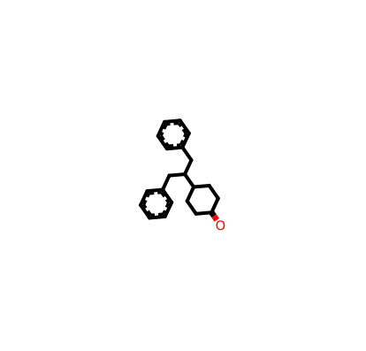 O=C1CCC(C(Cc2ccccc2)Cc2ccccc2)CC1